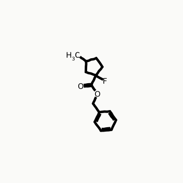 CC1CCC(F)(C(=O)OCc2ccccc2)C1